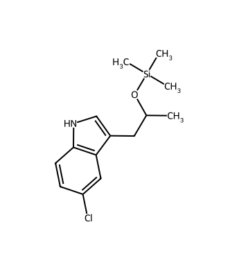 CC(Cc1c[nH]c2ccc(Cl)cc12)O[Si](C)(C)C